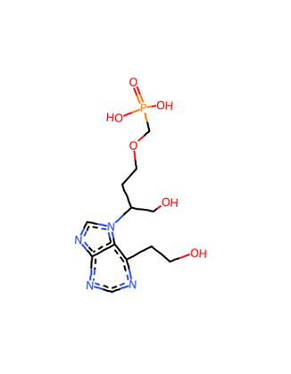 O=P(O)(O)COCCC(CO)n1cnc2ncnc(CCO)c21